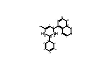 CC1=CC(C2=C3C=CCCC3CC=C2)NC(C2C=CC=CC2)N1